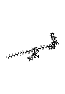 CCCCCCCCCCCCCCCCCOCC(COP(=O)(O)CCC[N+](C)(C)C)OC(=O)CCCCCCCC(=O)O[C@@H]1C(=O)OCc2c1cc1n(c2=O)Cc2cc3ccccc3nc2-1